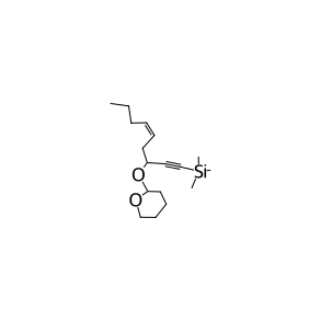 CCC/C=C\CC(C#C[Si](C)(C)C)OC1CCCCO1